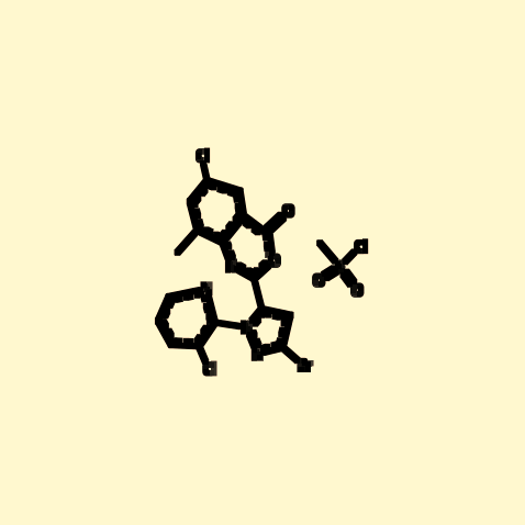 CS(=O)(=O)Cl.Cc1cc(Cl)cc2c(=O)oc(-c3cc(Br)nn3-c3ncccc3Cl)nc12